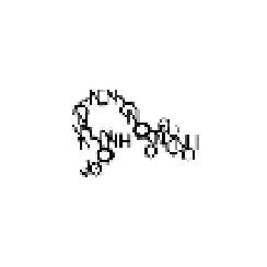 CC1(Oc2ccc3[nH]nc(-c4cc(N5CC[C@@H](CN6CCN(CC7CCN(c8ccc9c(c8)C(=O)N(C8CCC(=O)NC8=O)C9=O)CC7)CC6)C5)ncn4)c3c2)CC1